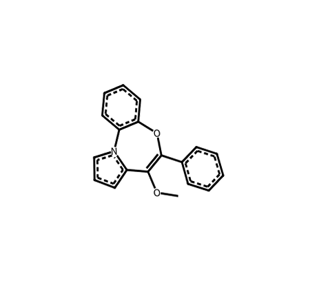 COC1=C(c2ccccc2)Oc2ccccc2-n2cccc21